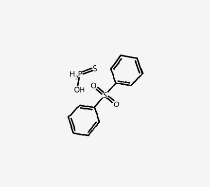 O=S(=O)(c1ccccc1)c1ccccc1.O[PH2]=S